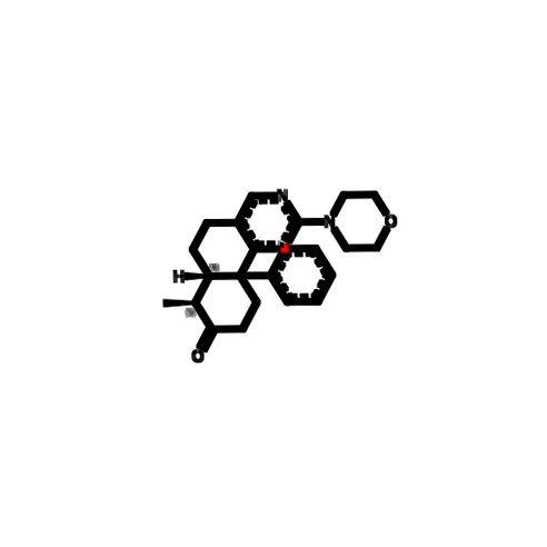 C[C@@H]1C(=O)CCC2(c3ccccc3)c3nc(N4CCOCC4)ncc3CC[C@@H]12